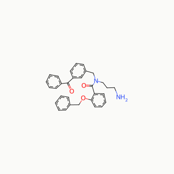 NCCCN(Cc1cccc(C(=O)c2ccccc2)c1)C(=O)c1ccccc1OCc1ccccc1